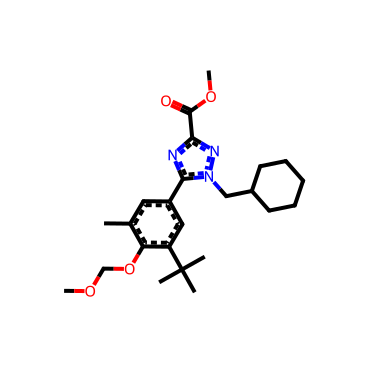 COCOc1c(C)cc(-c2nc(C(=O)OC)nn2CC2CCCCC2)cc1C(C)(C)C